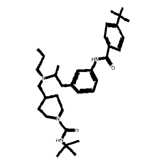 CCCN(CC1CCN(C(=O)NC(C)(C)C)CC1)C(C)Cc1cccc(NC(=O)c2ccc(C(C)(C)C)cc2)c1